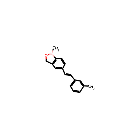 CB1OCc2cc(/C=C/c3cccc(C)c3)ccc21